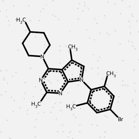 [CH2]C1CCN(c2nc(C)nc3c2c(C)cn3-c2c(C)cc(Br)cc2C)CC1